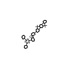 CC1(C)c2ccccc2-c2cc3c(cc21)-c1ccc(-c2ccc4oc5c(-c6nc(-c7ccccc7)nc(-c7ccccc7)n6)cccc5c4c2)cc1C3(C)C